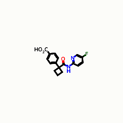 O=C(O)c1ccc(C2(C(=O)Nc3ccc(F)cn3)CCC2)cc1